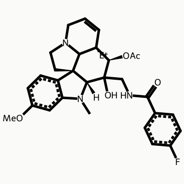 CC[C@]12C=CCN3CC[C@@]4(c5ccc(OC)cc5N(C)[C@H]4C(O)(CNC(=O)c4ccc(F)cc4)[C@@H]1OC(C)=O)C32